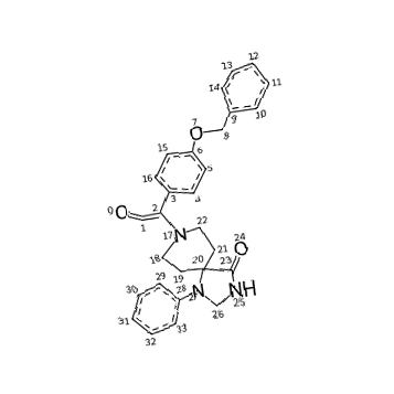 O=C=C(c1ccc(OCc2ccccc2)cc1)N1CCC2(CC1)C(=O)NCN2c1ccccc1